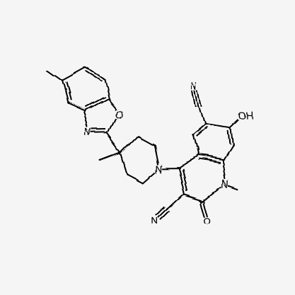 Cc1ccc2oc(C3(C)CCN(c4c(C#N)c(=O)n(C)c5cc(O)c(C#N)cc45)CC3)nc2c1